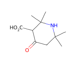 CC1(C)CC(=O)C(C(=O)O)C(C)(C)N1